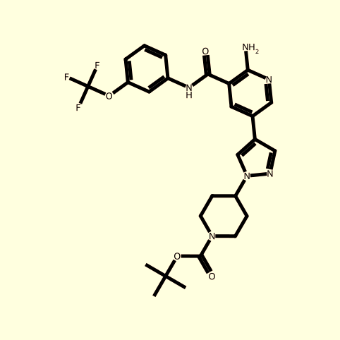 CC(C)(C)OC(=O)N1CCC(n2cc(-c3cnc(N)c(C(=O)Nc4cccc(OC(F)(F)F)c4)c3)cn2)CC1